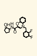 O=C(N[C@@H]1CCC[C@H]1O)C1=CN(Cc2cccc(F)c2F)c2ccccc2O1